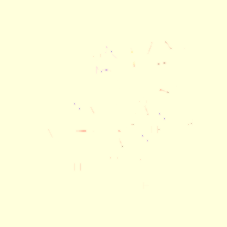 CCC[C@H](N[C@@H](C)C(=O)N1C(C(=O)O)C[C@@H]2CCCC[C@@H]21)C(=O)OCC.Cc1ccc(S(=O)(=O)c2c(OC(C)CC(=O)N[C@@H](CC(=O)O)C(=O)O)no[n+]2[O-])cc1